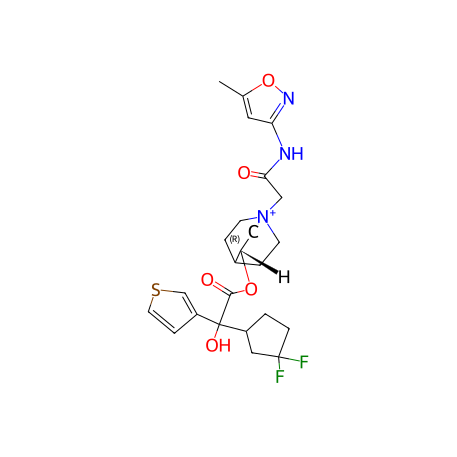 Cc1cc(NC(=O)C[N+]23CCC(CC2)[C@@H](OC(=O)C(O)(c2ccsc2)C2CCC(F)(F)C2)C3)no1